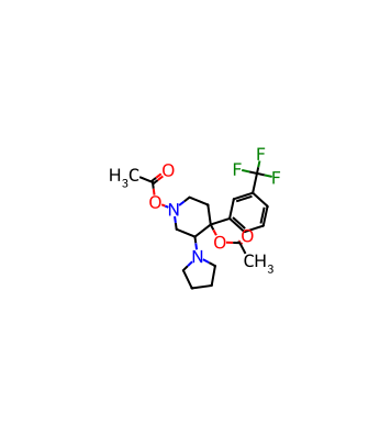 CC(=O)ON1CCC(OC(C)=O)(c2cccc(C(F)(F)F)c2)C(N2CCCC2)C1